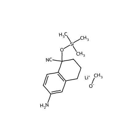 C[O-].C[Si](C)(C)OC1(C#N)CCCc2cc(N)ccc21.[Li+]